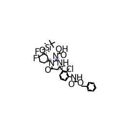 CC(C)(C)[Si](C)(C)O[C@H]1C[C@@H](N2C(=O)C[C@@](C)(c3cccc(NC(=O)OCc4ccccc4)c3Cl)N/C2=N\C(=O)O)CCC1(F)F